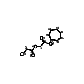 O=C(CCl)OCC(=O)OC1CCCCCC1